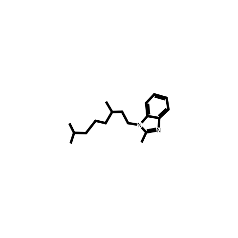 Cc1nc2ccccc2n1CCC(C)CCCC(C)C